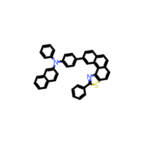 c1ccc(-c2nc3c(ccc4ccc5ccc(-c6ccc(N(c7ccccc7)c7ccc8ccccc8c7)cc6)cc5c43)s2)cc1